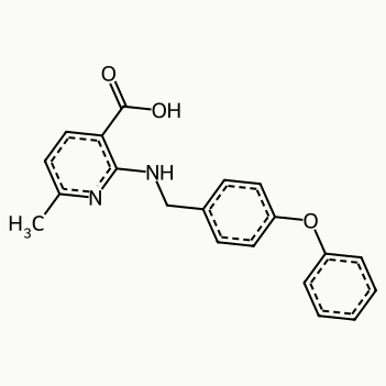 Cc1ccc(C(=O)O)c(NCc2ccc(Oc3ccccc3)cc2)n1